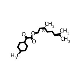 CC(C)=CCC[C@@H](C)CCOC(=O)C(=O)C1CCC(C)CC1